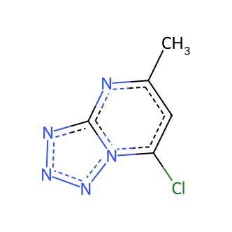 Cc1cc(Cl)n2nnnc2n1